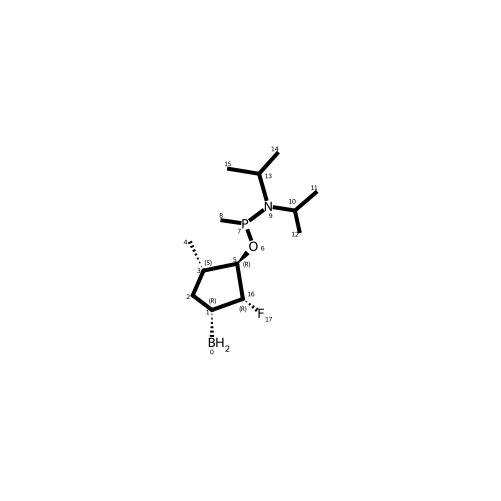 B[C@@H]1C[C@H](C)[C@@H](OP(C)N(C(C)C)C(C)C)[C@@H]1F